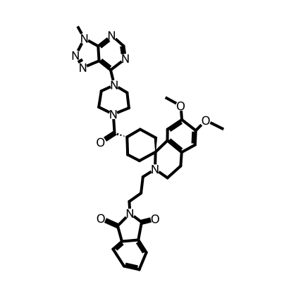 COc1cc2c(cc1OC)[C@]1(CC[C@@H](C(=O)N3CCN(c4ncnc5c4nnn5C)CC3)CC1)N(CCCN1C(=O)c3ccccc3C1=O)CC2